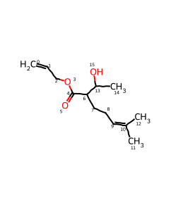 C=CCOC(=O)C(CCC=C(C)C)C(C)O